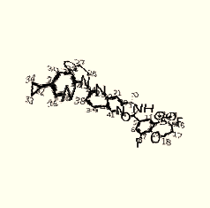 C[C@H](NC(=O)c1cc(F)c2c(c1)S(=O)(=O)[C@@H](F)CCO2)c1cc2nc(N3CCOc4cc(C5CC5)cnc43)ccc2cn1